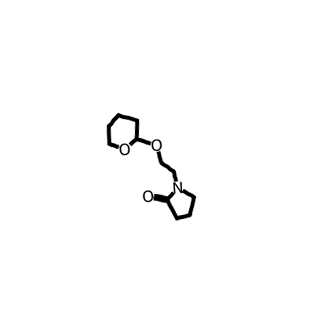 O=C1CCCN1CCOC1CCCCO1